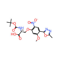 COc1cc(OC[C@H](NC(=O)OC(C)(C)C)C(=O)O)c([N+](=O)[O-])cc1-c1nnc(C)o1